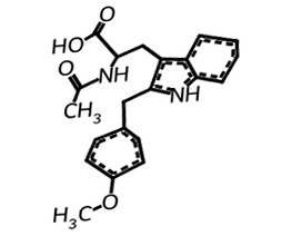 COc1ccc(Cc2[nH]c3ccccc3c2CC(NC(C)=O)C(=O)O)cc1